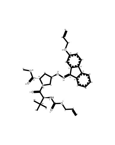 C=CCOC(=O)N[C@H](C(=O)N1C[C@H](ON=C2c3ccccc3-c3ccc(OCC=C)cc32)C[C@H]1C(=O)OC)C(C)(C)C